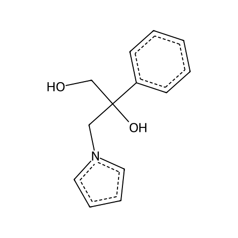 OCC(O)(Cn1cccc1)c1ccccc1